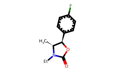 CCN1C(=O)O[C@H](c2ccc(F)cc2)[C@H]1C